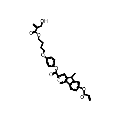 C=CC(=O)Oc1ccc2c(c1)C(C)c1cc(C(=O)Oc3ccc(OCCCCOC(=O)C(=C)CO)cc3)ccc1-2